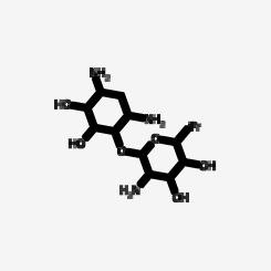 CC(C)C1OC(OC2C(N)CC(N)C(O)C2O)C(N)C(O)C1O